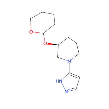 c1cc(N2CCC[C@H](OC3CCCCO3)C2)[nH]n1